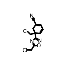 N#CC1=CC=CC(CCl)(c2noc(CCl)n2)C1